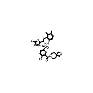 Cc1ccc(F)c([C@@H](C)[C@H](NS(=O)(=O)c2ccc(Cl)c(C(=O)N3CCC4(CC3)COC4)n2)c2n[nH]c(=O)o2)c1C